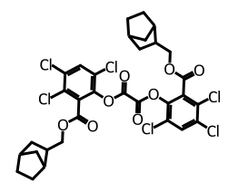 O=C(Oc1c(Cl)cc(Cl)c(Cl)c1C(=O)OCC1CC2CCC1C2)C(=O)Oc1c(Cl)cc(Cl)c(Cl)c1C(=O)OCC1CC2CCC1C2